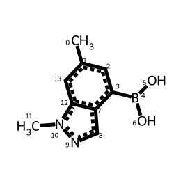 Cc1cc(B(O)O)c2cnn(C)c2c1